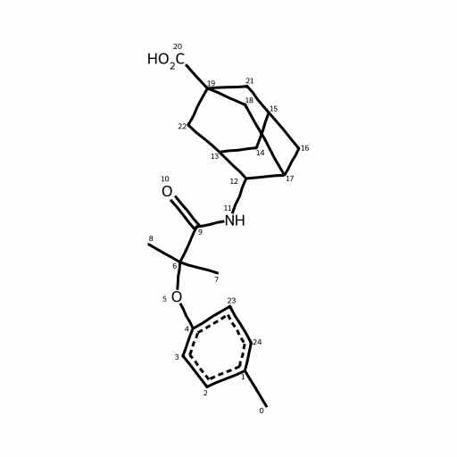 Cc1ccc(OC(C)(C)C(=O)NC2C3CC4CC2CC(C(=O)O)(C4)C3)cc1